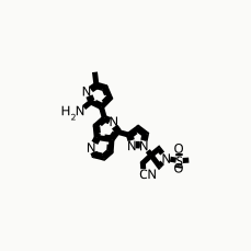 Cc1ccc(-c2cc3ncccc3c(-c3ccn(C4(CC#N)CN(S(C)(=O)=O)C4)n3)n2)c(N)n1